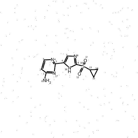 Nc1ccnc(-c2cnc(S(=O)(=O)C3CC3)[nH]2)n1